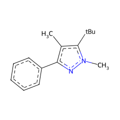 Cc1c(-c2ccccc2)nn(C)c1C(C)(C)C